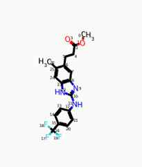 COC(=O)CCc1cc2nc(Nc3ccc(C(F)(F)F)cc3)[nH]c2cc1C